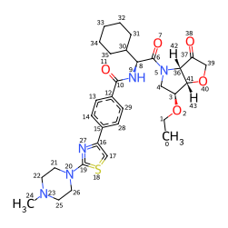 CCO[C@H]1CN(C(=O)[C@@H](NC(=O)c2ccc(-c3csc(N4CCN(C)CC4)n3)cc2)C2CCCCC2)[C@@H]2C(=O)CO[C@H]12